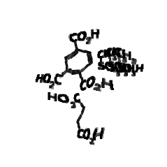 CS(=O)(=O)O.CS(=O)(=O)O.CS(=O)(=O)O.O=C(O)CCC(=O)O.O=C(O)c1ccc(C(=O)O)c(C(=O)O)c1